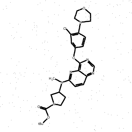 CN(c1ccc2ncnc(Oc3ccc(N4CCOCC4)c(Cl)c3)c2n1)C1CCN(C(=O)OC(C)(C)C)C1